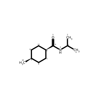 CC(C)NC(=O)[C@H]1CC[C@@H](C)CC1